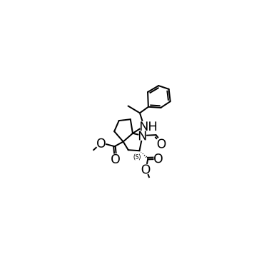 COC(=O)[C@@H]1CC2(C(=O)OC)CCCC2(NC(C)c2ccccc2)N1C=O